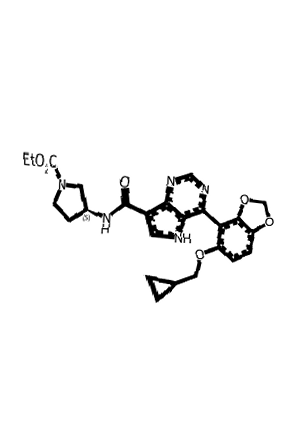 CCOC(=O)N1CC[C@H](NC(=O)c2c[nH]c3c(-c4c(OCC5CC5)ccc5c4OCO5)ncnc23)C1